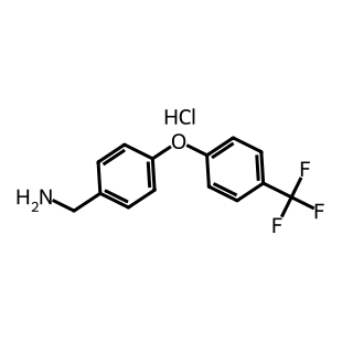 Cl.NCc1ccc(Oc2ccc(C(F)(F)F)cc2)cc1